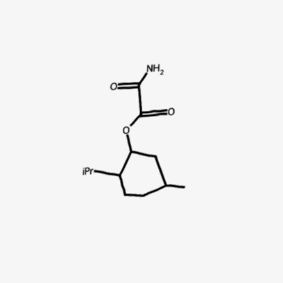 CC1CCC(C(C)C)C(OC(=O)C(N)=O)C1